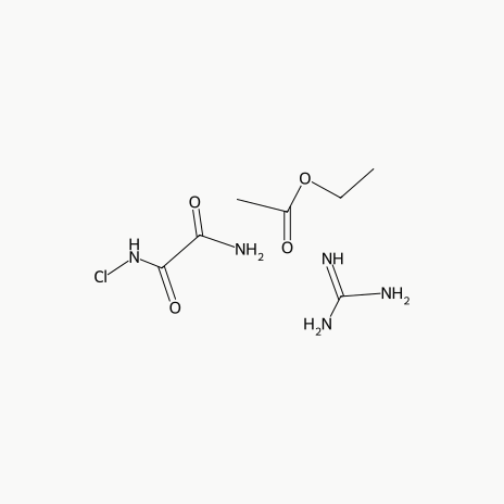 CCOC(C)=O.N=C(N)N.NC(=O)C(=O)NCl